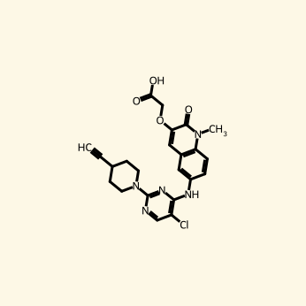 C#CC1CCN(c2ncc(Cl)c(Nc3ccc4c(c3)cc(OCC(=O)O)c(=O)n4C)n2)CC1